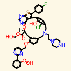 O=C(OCO)[C@H]1Cc2cc(ccc2OCc2ccnc(-c3ccccc3OO)n2)CN(CCN2CCNCC2)Cc2ccc(c(O)c2Cl)-c2c(-c3ccc(F)cc3)sc3ncnc(c23)O1